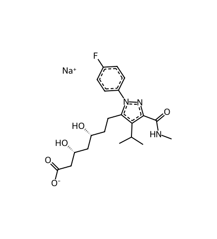 CNC(=O)c1nn(-c2ccc(F)cc2)c(CC[C@@H](O)C[C@@H](O)CC(=O)[O-])c1C(C)C.[Na+]